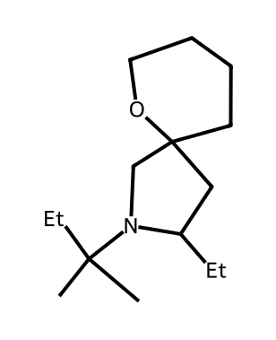 CCC1CC2(CCCCO2)CN1C(C)(C)CC